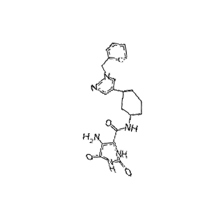 Nc1c(C(=O)NC2CCCC(c3cnn(Cc4ccccc4)c3)C2)[nH]c(=O)[nH]c1=O